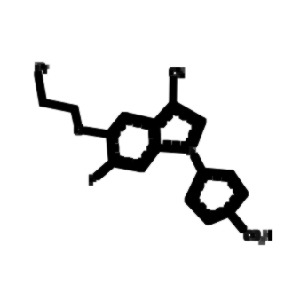 CC(C)CCOc1cc2c(C#N)cn(-c3ccc(C(=O)O)cc3)c2cc1F